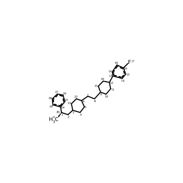 C[C@H](CC1CCC(CCC2CCC(c3ccc(F)cc3)CC2)CC1)c1ccccc1